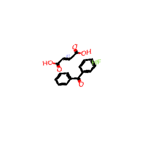 F.O=C(O)/C=C/C(=O)O.O=C(c1ccccc1)c1ccccc1